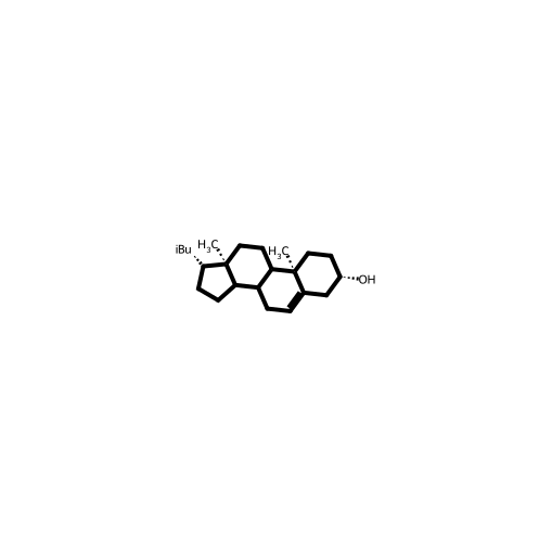 CC[C@@H](C)C1CCC2C3CC=C4C[C@@H](O)CC[C@]4(C)C3CC[C@@]21C